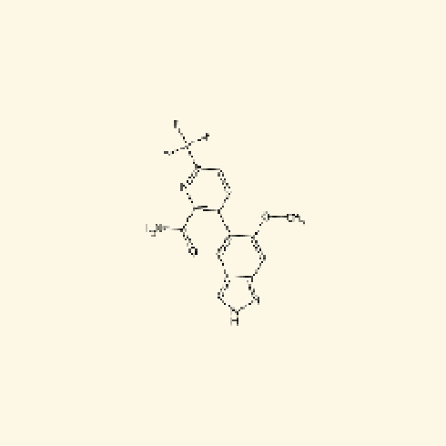 COc1cc2n[nH]cc2cc1-c1ccc(C(F)(F)F)nc1C(N)=O